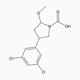 COC1CC(c2cc(Cl)cc(Cl)c2)CN1C(=O)O